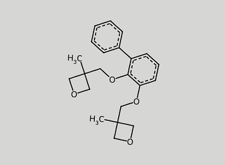 CC1(COc2cccc(-c3ccccc3)c2OCC2(C)COC2)COC1